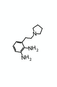 Nc1cccc(CCN2CCCC2)c1N